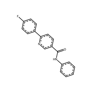 O=C(Nc1ccccc1)c1ccc(-c2ccc(F)cc2)nc1